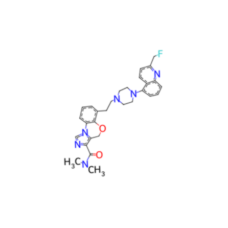 CN(C)C(=O)c1ncn2c1COc1c(CCN3CCN(c4cccc5nc(CF)ccc45)CC3)cccc1-2